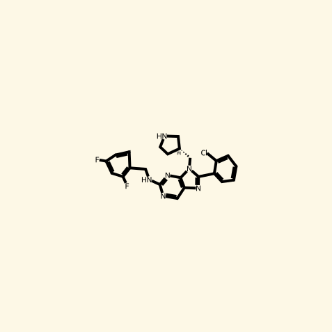 Fc1ccc(CNc2ncc3nc(-c4ccccc4Cl)n(C[C@@H]4CCNC4)c3n2)c(F)c1